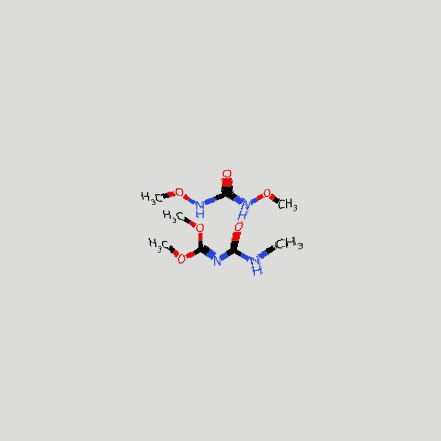 CNC(=O)N=C(OC)OC.CONC(=O)NOC